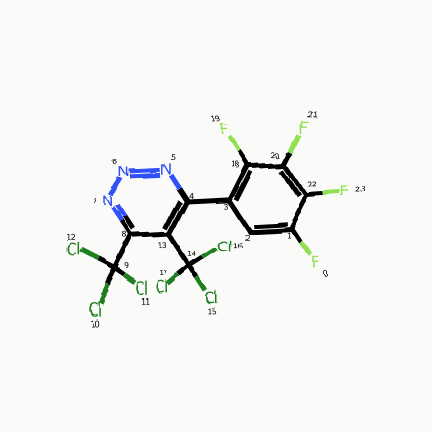 Fc1cc(-c2nnnc(C(Cl)(Cl)Cl)c2C(Cl)(Cl)Cl)c(F)c(F)c1F